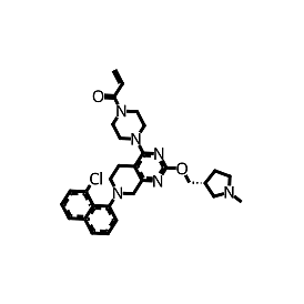 C=CC(=O)N1CCN(c2nc(OC[C@@H]3CCN(C)C3)nc3c2CCN(c2cccc4cccc(Cl)c24)C3)CC1